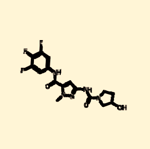 Cn1nc(NC(=O)N2CCC(O)C2)cc1C(=O)Nc1cc(F)c(F)c(F)c1